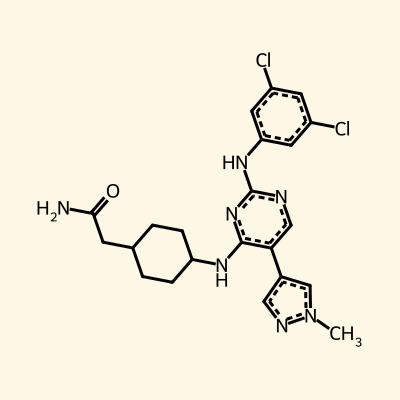 Cn1cc(-c2cnc(Nc3cc(Cl)cc(Cl)c3)nc2NC2CCC(CC(N)=O)CC2)cn1